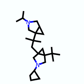 CC(C)N1CC2CC2(C(C)(C)CC23CN(C4CCC4)CC2(C(C)(C)C)C3)C1